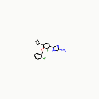 Nc1cnc(-c2ccc(C3CCC3)c(OCc3ccccc3F)c2F)cn1